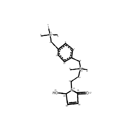 C[N+](C)(I)Cc1ccc(C[N+](C)(C)CCN2C(=O)C=CC2O)cc1